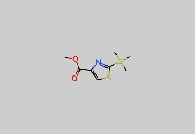 COC(=O)c1csc(S(C)(C)C)n1